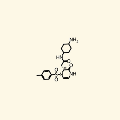 Cc1ccc(S(=O)(=O)N2C=CNC(=O)[C@H]2CC(=O)NC2CCC(N)CC2)cc1